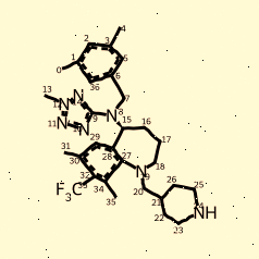 Cc1cc(C)cc(CN(c2nnn(C)n2)[C@H]2CCCN(CC3CCNCC3)c3c2cc(C)c(C(F)(F)F)c3C)c1